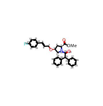 COC(=O)[C@@H]1C[C@H](OC/C=C/c2ccc(F)cc2)CN1C(=O)C(c1ccccc1)c1ccccc1